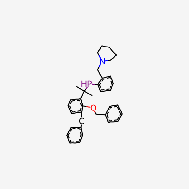 CC(C)(Pc1ccccc1CN1CCCCC1)c1cccc(Cc2ccccc2)c1OCc1ccccc1